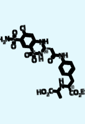 CCOC(=O)[C@H](Cc1ccc(NC(=O)C[C@H]2Nc3cc(Cl)c(S(N)(=O)=O)cc3S(=O)(=O)N2)cc1)NC(C)C(=O)O